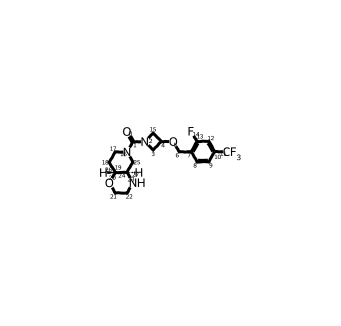 O=C(N1CC(OCc2ccc(C(F)(F)F)cc2F)C1)N1CC[C@H]2OCCN[C@@H]2C1